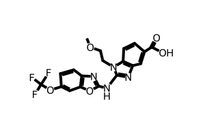 COCCn1c(Nc2nc3ccc(OC(F)(F)F)cc3o2)nc2cc(C(=O)O)ccc21